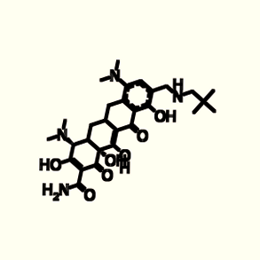 CN(C)c1cc(CNCC(C)(C)C)c(O)c2c1CC1CC3[C@H](N(C)C)C(O)=C(C(N)=O)C(=O)[C@@]3(O)C(O)=C1C2=O